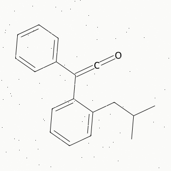 CC(C)Cc1ccccc1C(=C=O)c1ccccc1